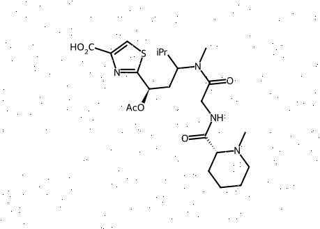 CC(=O)O[C@H](CC(C(C)C)N(C)C(=O)CNC(=O)[C@H]1CCCCN1C)c1nc(C(=O)O)cs1